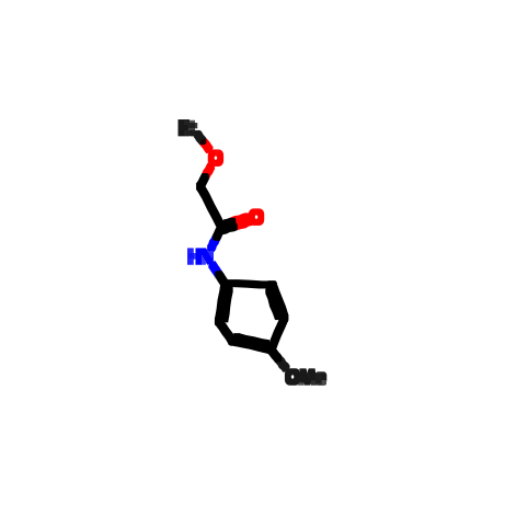 CCOCC(=O)Nc1ccc(OC)cc1